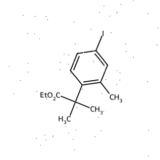 CCOC(=O)C(C)(C)c1ccc(I)cc1C